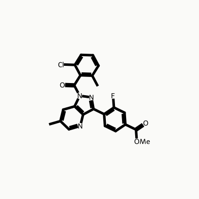 COC(=O)c1ccc(-c2nn(C(=O)c3c(C)cccc3Cl)c3cc(C)cnc23)c(F)c1